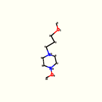 COCCCN1CCN(OC)CC1